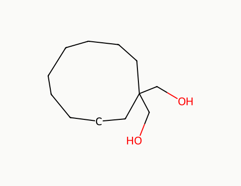 OCC1(CO)CCCCCCCCC1